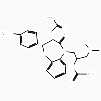 COc1ccc([C@H]2Sc3ccccc3N(CC(CN(C)C)OC(=O)C(C)(C)C)C(=O)[C@H]2OC(=O)C(C)(C)C)cc1